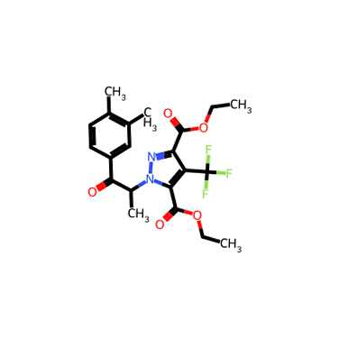 CCOC(=O)c1nn(C(C)C(=O)c2ccc(C)c(C)c2)c(C(=O)OCC)c1C(F)(F)F